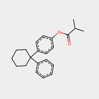 CC(C)C(=O)Oc1ccc(C2(c3ccccc3)CCCCC2)cc1